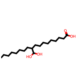 CCCCCCCCC(CCCCCCCCC(=O)O)C(O)O